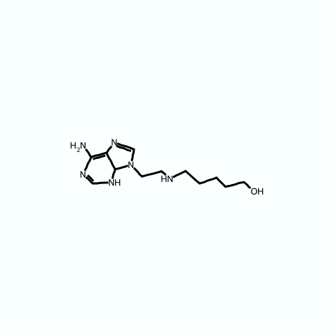 NC1=C2N=CN(CCNCCCCCO)C2NC=N1